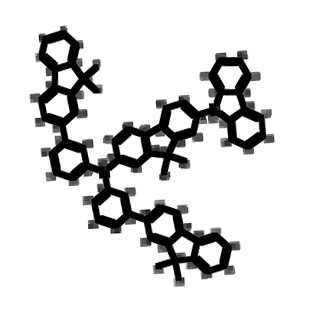 CC1(C)c2ccccc2-c2ccc(-c3cccc(N(c4cccc(-c5ccc6c(c5)C(C)(C)c5ccccc5-6)c4)c4ccc5c(c4)C(C)(C)c4cc(-n6c7ccccc7c7ccccc76)ccc4-5)c3)cc21